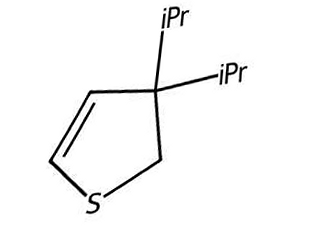 CC(C)C1(C(C)C)C=CSC1